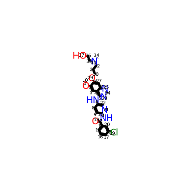 COc1cc2c(Nc3ccc(NC(=O)c4cccc(Cl)c4)nc3)ncnc2cc1OCCCN(C)CCO